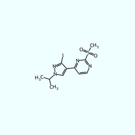 CC(C)n1cc(-c2ccnc(S(C)(=O)=O)n2)c(I)n1